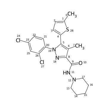 Cc1ccc(-c2c(C)c(C(=O)NN3CCCCC3)nn2-c2ccc(Cl)cc2Cl)s1